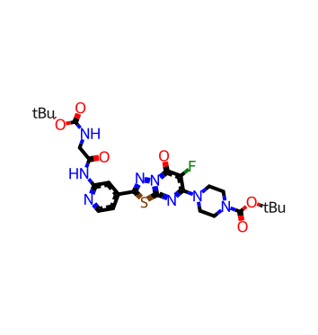 CC(C)(C)OC(=O)NCC(=O)Nc1cc(-c2nn3c(=O)c(F)c(N4CCN(C(=O)OC(C)(C)C)CC4)nc3s2)ccn1